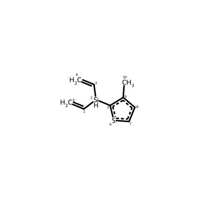 C=C[SiH](C=C)c1sccc1C